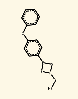 SSP1SP(c2ccc(Oc3ccccc3)cc2)S1